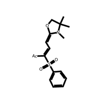 CC(=O)C(=CC=C1OCC(C)(C)N1C)S(=O)(=O)c1ccccc1